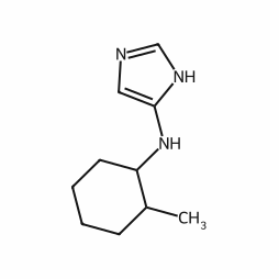 CC1CCCCC1Nc1cnc[nH]1